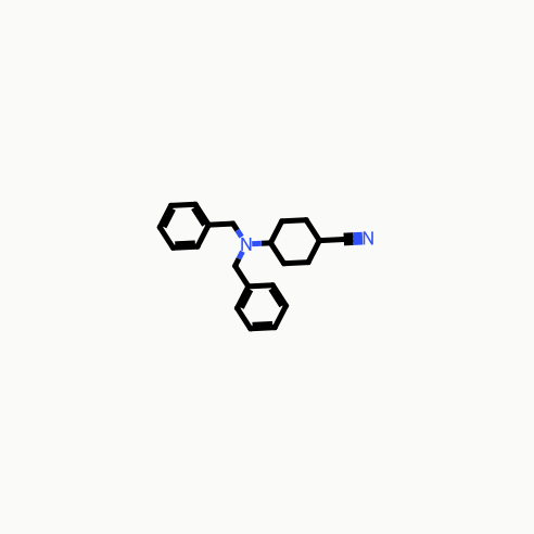 N#CC1CCC(N(Cc2ccccc2)Cc2ccccc2)CC1